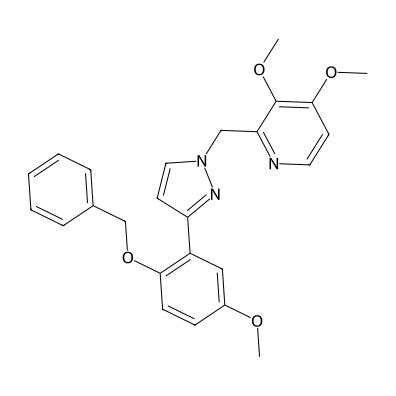 COc1ccc(OCc2ccccc2)c(-c2ccn(Cc3nccc(OC)c3OC)n2)c1